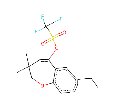 CCc1ccc2c(c1)C(OS(=O)(=O)C(F)(F)F)=CC(C)(C)CO2